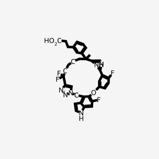 CC1(c2cccc(CCC(=O)O)c2)CCCCC(F)(F)c2cn(nn2)Cc2c(c(F)cc3[nH]ccc23)Oc2ccc(F)c(c2)-c2ncc1[nH]2